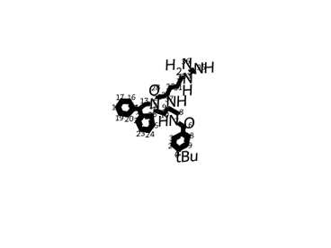 CC(C)(C)c1ccc(C(=O)NCC2CCN(CC(c3ccccc3)c3ccccc3)C(=O)C(CCCNC(=N)N)N2)cc1